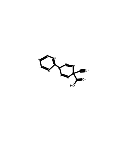 N#CC1(C(=O)O)C=CC(c2ccccc2)C=C1